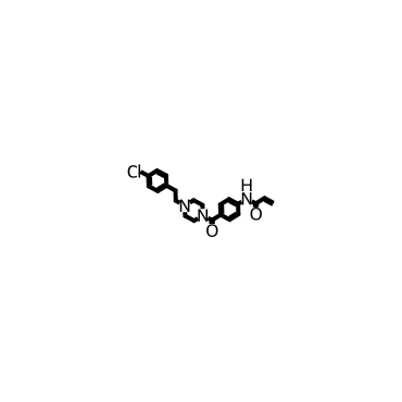 C=CC(=O)Nc1ccc(C(=O)N2CCN(CCc3ccc(Cl)cc3)CC2)cc1